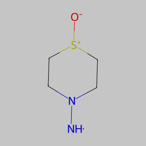 [NH]N1CC[S+]([O-])CC1